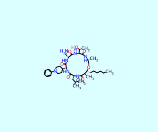 CCCCCC[C@H]1OC[C@@H](C)NC(=O)[C@H]([C@H](C)O)NC(=O)[C@H](CN)NC(=O)[C@H](C2CCN(c3ccccc3)CC2)NC(=O)[C@H](CC(C)C)N(C)C(=O)[C@@H]1C